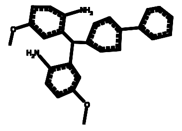 COc1ccc(N)c(C(c2ccc(-c3ccccc3)cc2)c2cc(OC)ccc2N)c1